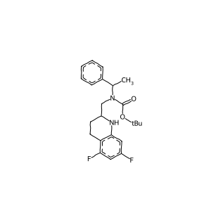 CC(c1ccccc1)N(CC1CCc2c(F)cc(F)cc2N1)C(=O)OC(C)(C)C